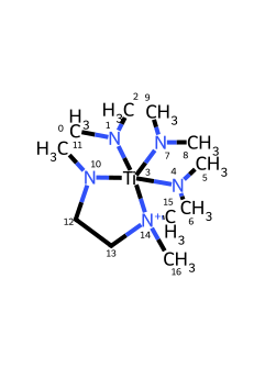 C[N](C)[Ti]1([N](C)C)([N](C)C)[N](C)CC[N+]1(C)C